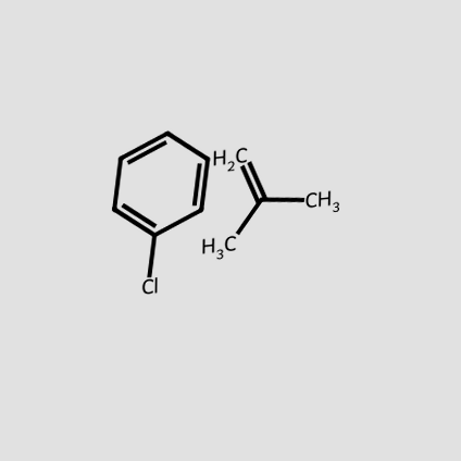 C=C(C)C.Clc1ccccc1